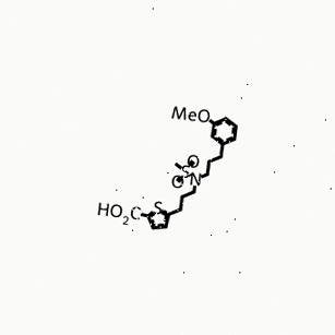 COc1cccc(CCCN(CCCc2ccc(C(=O)O)s2)S(C)(=O)=O)c1